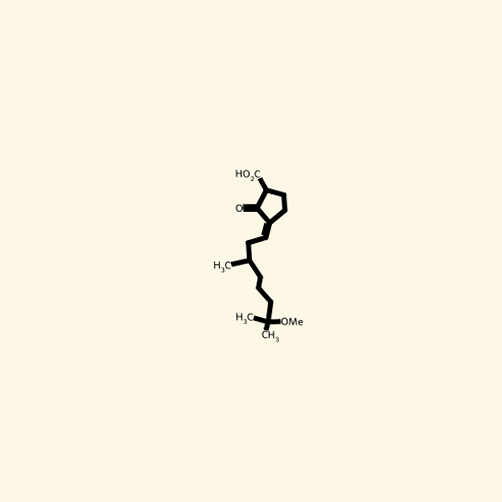 COC(C)(C)CCCC(C)CC=C1CCC(C(=O)O)C1=O